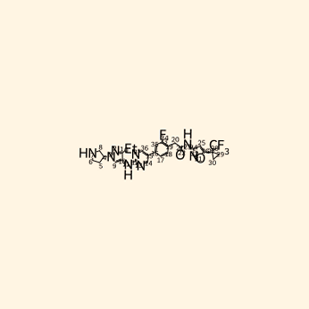 CCc1nn(C2CCNC2)cc1Nc1ncc(-c2ccc(CC(=O)Nc3cc(C4(C(F)(F)F)CC4)on3)c(F)c2)cn1